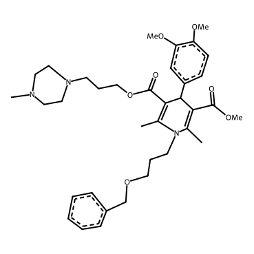 COC(=O)C1=C(C)N(CCCOCc2ccccc2)C(C)=C(C(=O)OCCCN2CCN(C)CC2)C1c1ccc(OC)c(OC)c1